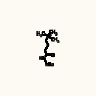 CCCCNC(=O)CCC[N+](C)(C)C